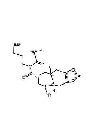 CCCN1C[C@H](C(=O)N(CCCOC)C(=O)NCC)C[C@@H]2Cc3n[nH]cc3C[C@H]21